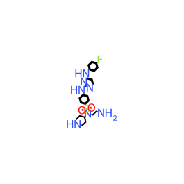 NCCN(C1CCNCC1)S(=O)(=O)c1ccc(Nc2nccc(Nc3ccc(F)cc3)n2)cc1